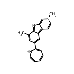 Cc1cc(C2=CC=CC=CN2)cc2c3ccn(C)cc-3nc12